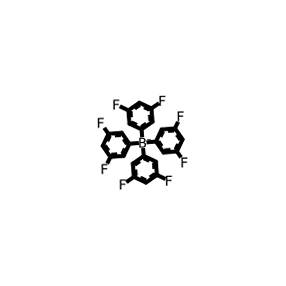 Fc1cc(F)cc([B-](c2cc(F)cc(F)c2)(c2cc(F)cc(F)c2)c2cc(F)cc(F)c2)c1